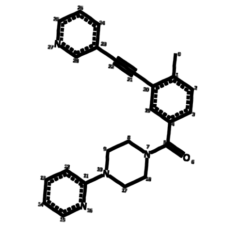 Cc1ccc(C(=O)N2CCN(c3ccccn3)CC2)cc1C#Cc1cccnc1